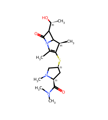 CC1=C(S[C@H]2C[C@@H](C(=O)N(C)C)N(C)C2)[C@H](C)C2C([C@@H](C)O)C(=O)N12